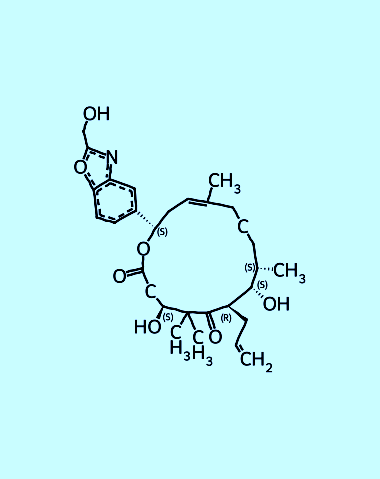 C=CC[C@H]1C(=O)C(C)(C)[C@@H](O)CC(=O)O[C@H](c2ccc3oc(CO)nc3c2)CC=C(C)CCC[C@H](C)[C@@H]1O